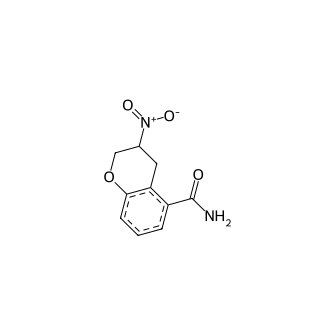 NC(=O)c1cccc2c1CC([N+](=O)[O-])CO2